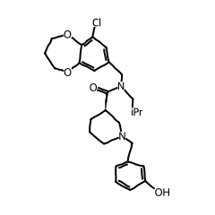 CC(C)CN(Cc1cc(Cl)c2c(c1)OCCCO2)C(=O)[C@@H]1CCCN(Cc2cccc(O)c2)C1